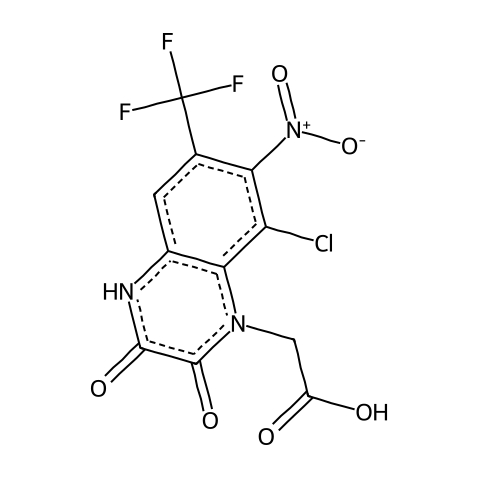 O=C(O)Cn1c(=O)c(=O)[nH]c2cc(C(F)(F)F)c([N+](=O)[O-])c(Cl)c21